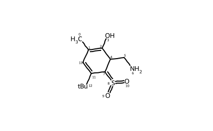 CC1=C(O)C(CN)C(=S(=O)=O)C(C(C)(C)C)=C1